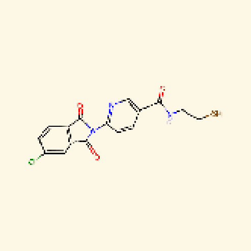 O=C(NCCS)c1ccc(N2C(=O)c3ccc(Cl)cc3C2=O)nc1